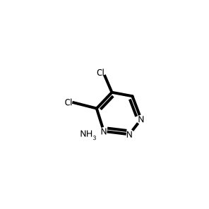 Clc1cnnnc1Cl.N